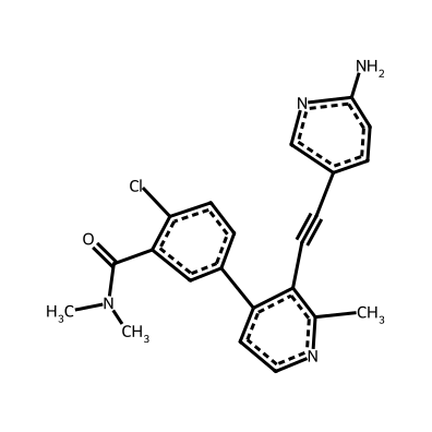 Cc1nccc(-c2ccc(Cl)c(C(=O)N(C)C)c2)c1C#Cc1ccc(N)nc1